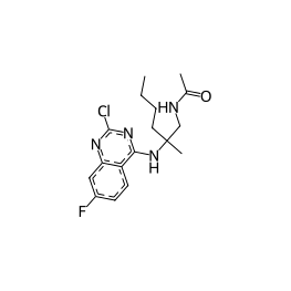 CCCCC(C)(CNC(C)=O)Nc1nc(Cl)nc2cc(F)ccc12